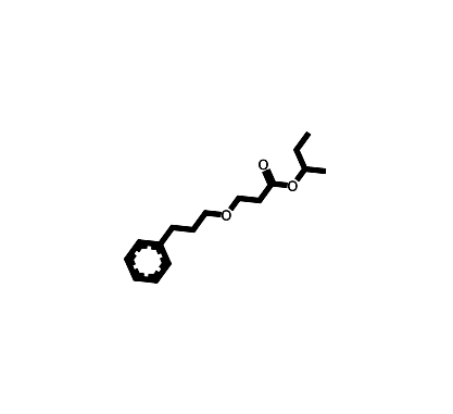 CCC(C)OC(=O)CCOCCCc1ccccc1